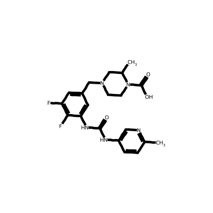 Cc1ccc(NC(=O)Nc2cc(CN3CCN(C(=O)O)C(C)C3)cc(F)c2F)cn1